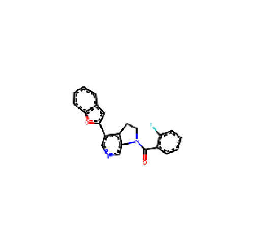 O=C(c1ccccc1F)N1CCc2c(-c3cc4ccccc4o3)cncc21